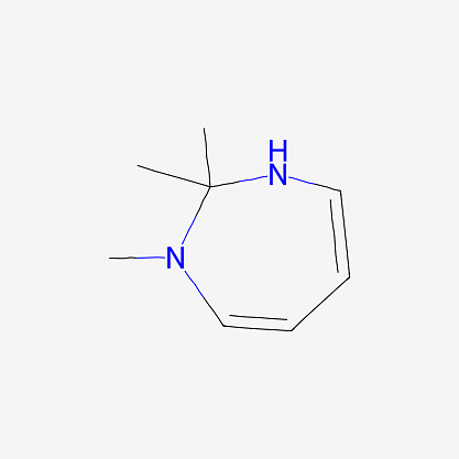 CN1C=CC=CNC1(C)C